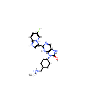 O=C(O)NCC1CCC(n2c(=O)[nH]c3cnc(-c4cnc5ccc(F)cn45)nc32)CC1